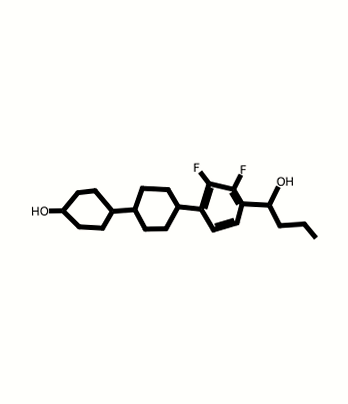 CCCC(O)c1ccc(C2CCC(C3CCC(O)CC3)CC2)c(F)c1F